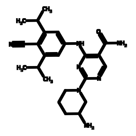 CC(C)c1cc(Nc2nc(N3CCCC(N)C3)ncc2C(N)=O)cc(C(C)C)c1C#N